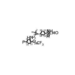 CC1(C)[C@H](CNc2cc(F)ccc2OCC(F)(F)F)[C@H]1c1ccc([SH](N)(=O)C=O)cc1